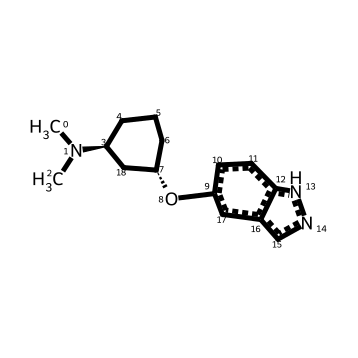 CN(C)[C@H]1CCC[C@H](Oc2ccc3[nH]ncc3c2)C1